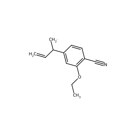 [CH2]C(C=C)c1ccc(C#N)c(OCC)c1